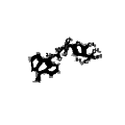 Cc1oc(S(=O)(=O)NC(=O)Nc2c3c(c(C#N)c4c2CCC4)CCC3)cc1C(C)(C)O